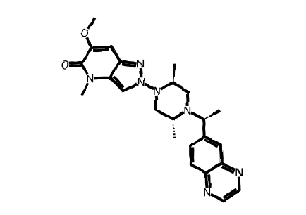 COc1cc2nn(N3C[C@@H](C)N([C@@H](C)c4ccc5nccnc5c4)C[C@@H]3C)cc2n(C)c1=O